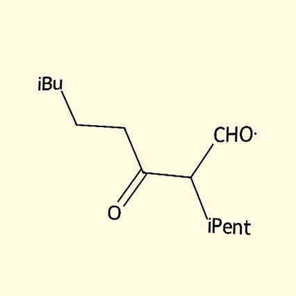 CCCC(C)C([C]=O)C(=O)CCC(C)CC